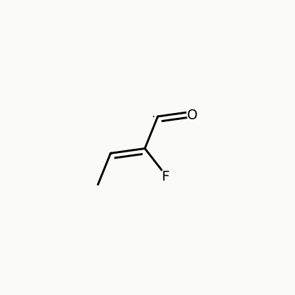 CC=C(F)[C]=O